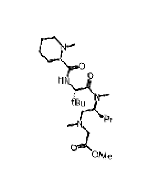 COC(=O)CN(C)C[C@H](C(C)C)N(C)C(=O)[C@@H](NC(=O)[C@H]1CCCCN1C)C(C)(C)C